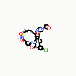 CCCc1cc(Cl)ccc1[C@@H]1COc2ccc3cc2N(C1)C[C@@H]1CC[C@H]1[C@@](CN1CCN([C@H]2CCOC2)CC1)(OC)/C=C/C[C@H](C)[C@@H](C)[S+]([O-])NC3=O